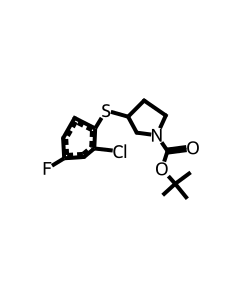 CC(C)(C)OC(=O)N1CCC(Sc2ccc(F)cc2Cl)C1